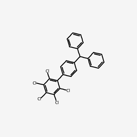 Clc1c(Cl)c(Cl)c(-c2ccc([C](c3ccccc3)c3ccccc3)cc2)c(Cl)c1Cl